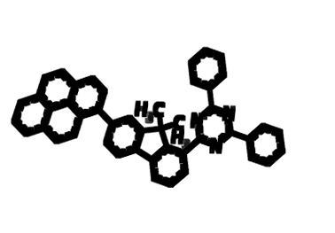 CC1(C)c2cc(-c3ccc4ccc5cccc6ccc3c4c56)ccc2-c2cccc(-c3nc(-c4ccccc4)nc(-c4ccccc4)n3)c21